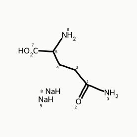 NC(=O)CCC(N)C(=O)O.[NaH].[NaH]